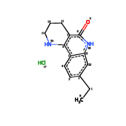 CCc1ccc2c3c(c(=O)[nH]c2c1)CCCN3.Cl